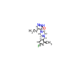 C=Cc1cn[nH]c(=O)c1N1CCN(Cc2ccc(F)cc2C)CC1